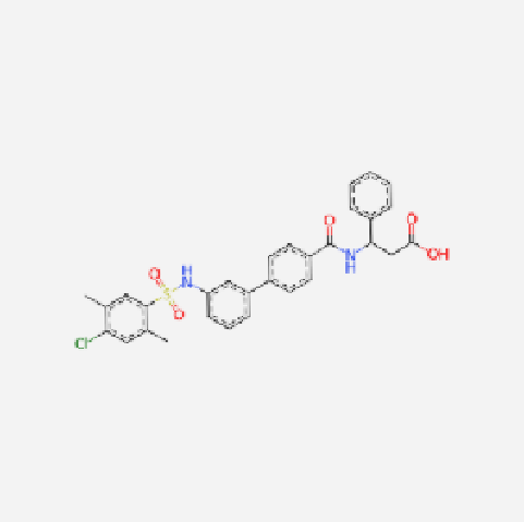 Cc1cc(S(=O)(=O)Nc2cccc(-c3ccc(C(=O)NC(CC(=O)O)c4ccccc4)cc3)c2)c(C)cc1Cl